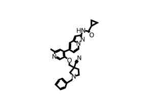 Cc1cc(-c2ccn3nc(NC(=O)C4CC4)cc3c2)c(OCC2(C#N)CCN(Cc3ccccc3)C2)cn1